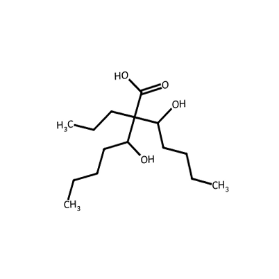 CCCCC(O)C(CCC)(C(=O)O)C(O)CCCC